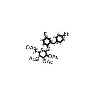 CCc1ccc(Cc2cc(F)ccc2O[C@@H]2S[C@H](COC(C)=O)[C@@H](OC(C)=O)[C@H](OC(C)=O)[C@H]2OC(C)=O)cc1